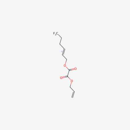 C=CCOC(=O)C(=O)OC/C=C/CCC(F)(F)F